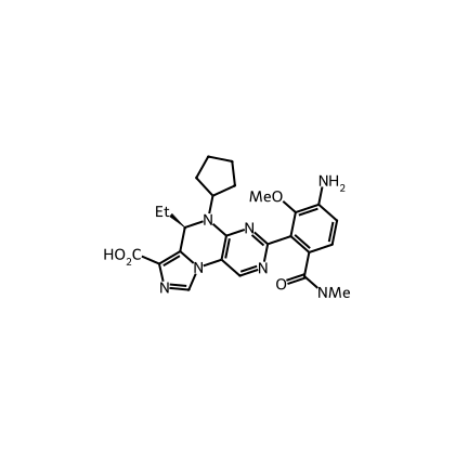 CC[C@@H]1c2c(C(=O)O)ncn2-c2cnc(-c3c(C(=O)NC)ccc(N)c3OC)nc2N1C1CCCC1